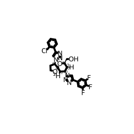 [2H][C@@H]1[C@H](n2cc(-c3cc(F)c(F)c(F)c3)nn2)[C@@H]([2H])[C@]2(OCC[C@H]2n2cc(-c3ccccc3Cl)nn2)O[C@H]1CO